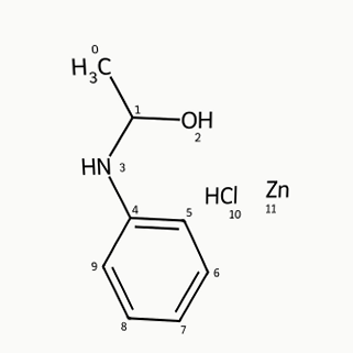 CC(O)Nc1ccccc1.Cl.[Zn]